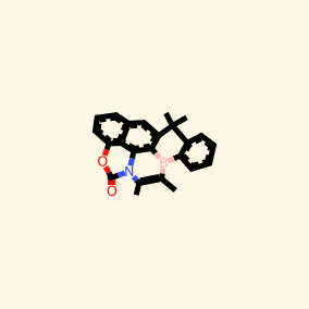 CC1=C(C)N2C(=O)Oc3cccc4cc5c(c2c34)B1c1ccccc1C5(C)C